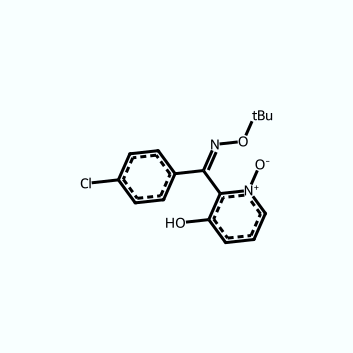 CC(C)(C)ON=C(c1ccc(Cl)cc1)c1c(O)ccc[n+]1[O-]